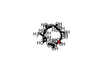 NCCC1OC2OC(CO)C(OC(O)/C(O)=C(\O)C(CCO)OC3OC(CO)C(OC(O)/C(O)=C(/O)C(CCO)OC(O)/C(O)=C(\O)C(CCO)OC(O)/C(O)=C(/O)C(CCO)OC(O)/C(O)=C/1O)C(O)C3O)C(O)C2O